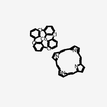 C1=Cc2cc3ccc(cc4nc(cc5ccc(cc1n2)[nH]5)C=C4)[nH]3.Clc1cccc[c]1[Co]([c]1ccccc1Cl)([c]1ccccc1Cl)[c]1ccccc1Cl